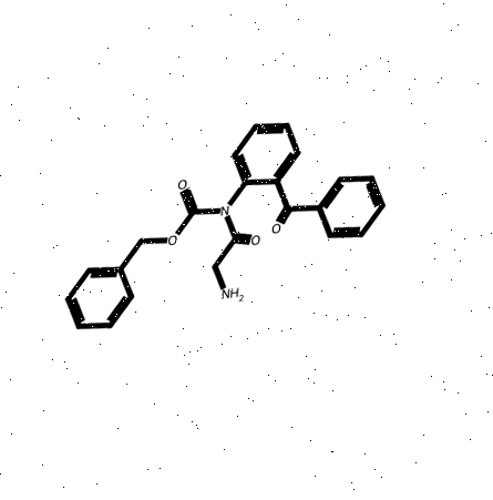 NCC(=O)N(C(=O)OCc1ccccc1)c1ccccc1C(=O)c1ccccc1